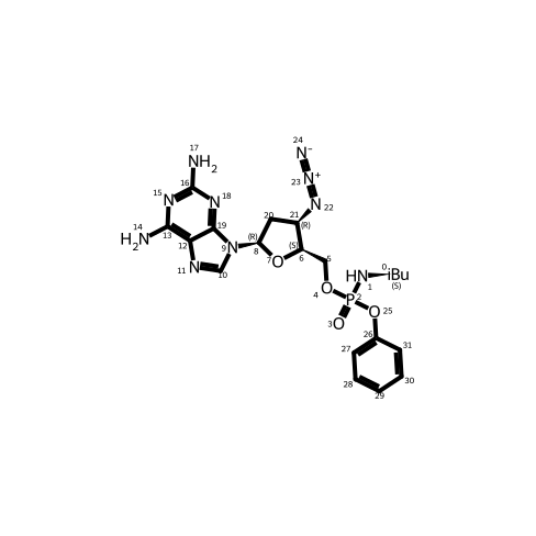 CC[C@H](C)NP(=O)(OC[C@H]1O[C@@H](n2cnc3c(N)nc(N)nc32)C[C@H]1N=[N+]=[N-])Oc1ccccc1